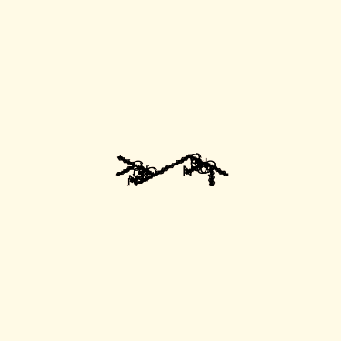 CCCCCCCC(CCCCCCC)OCCN(CC(=O)OC(CCCCCCC)CCCCCCCCCCCCC/C=C\COC(=O)CN(CC(=O)OC(CCCCCCC)CCCCCCC)C(=O)SCCCN(C)C)C(=O)SCCCN(C)C